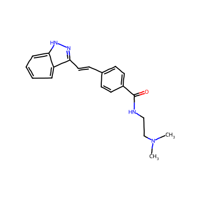 CN(C)CCNC(=O)c1ccc(C=Cc2n[nH]c3ccccc23)cc1